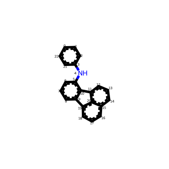 c1ccc(Nc2cccc3c2-c2cccc4cccc-3c24)cc1